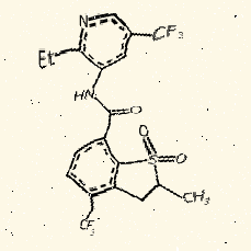 CCc1ncc(C(F)(F)F)cc1NC(=O)c1ccc(C(F)(F)F)c2c1S(=O)(=O)C(C)C2